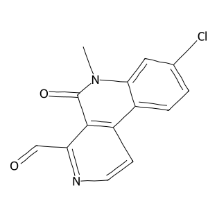 Cn1c(=O)c2c(C=O)nccc2c2ccc(Cl)cc21